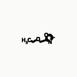 CCOCc1n[c]co1